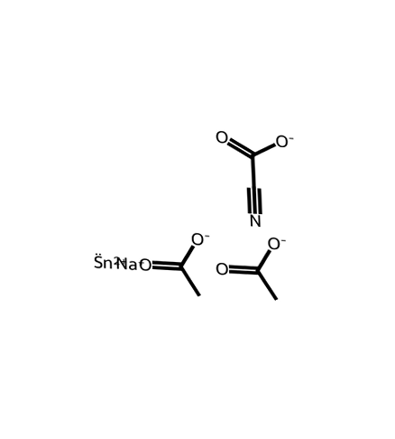 CC(=O)[O-].CC(=O)[O-].N#CC(=O)[O-].[Na+].[Sn+2]